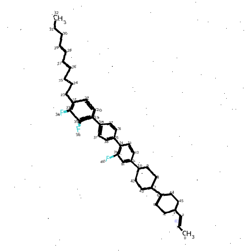 C/C=C/C1CCC(C2CCC(c3ccc(-c4ccc(-c5ccc(CCCCCCCCCC)c(F)c5F)cc4)c(F)c3)CC2)CC1